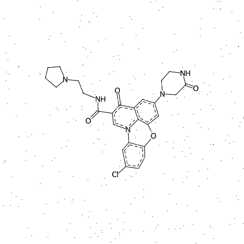 O=C1CN(c2cc3c4c(c2)c(=O)c(C(=O)NCCN2CCCC2)cn4-c2cc(Cl)ccc2O3)CCN1